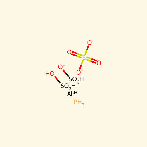 O=S(=O)(O)O.O=S(=O)([O-])O.O=S(=O)([O-])[O-].P.[Al+3]